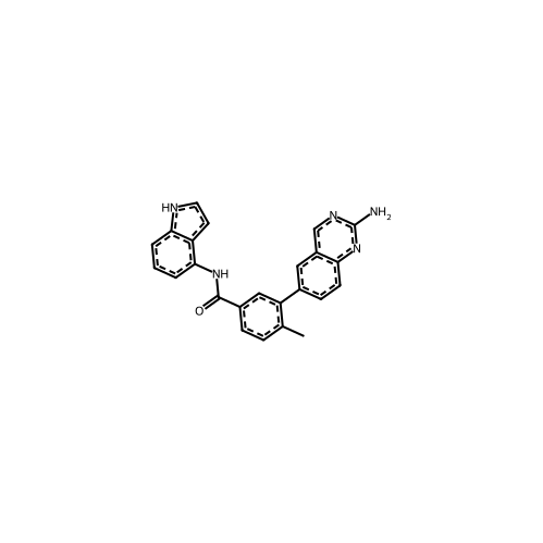 Cc1ccc(C(=O)Nc2cccc3[nH]ccc23)cc1-c1ccc2nc(N)ncc2c1